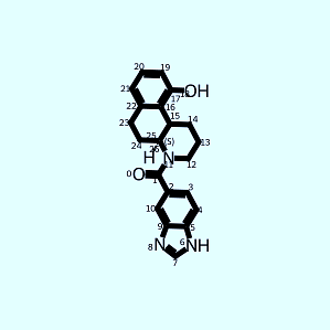 O=C(c1ccc2[nH]cnc2c1)N1CCCC2c3c(O)cccc3CC[C@@H]21